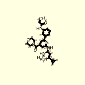 C=CC(=O)Nc1cccc(-c2cc(C(=O)N3CCOCC3)cc(NC(/C=C(\N)C3CC3)NC)n2)c1